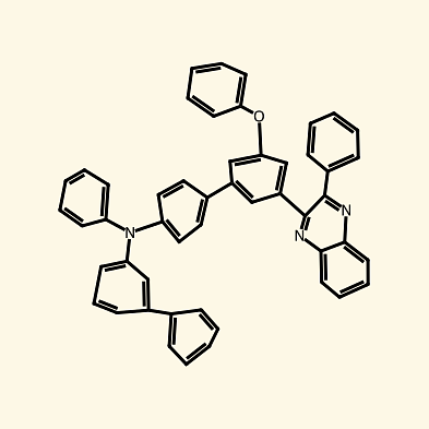 c1ccc(Oc2cc(-c3ccc(N(c4ccccc4)c4cccc(-c5ccccc5)c4)cc3)cc(-c3nc4ccccc4nc3-c3ccccc3)c2)cc1